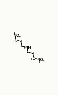 O=[N+]([O-])OCCNCCO[N+](=O)[O-]